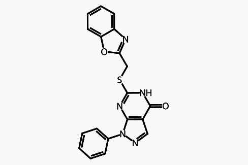 O=c1[nH]c(SCc2nc3ccccc3o2)nc2c1cnn2-c1ccccc1